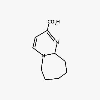 O=C(O)C1=NC2CCCCCN2C=C1